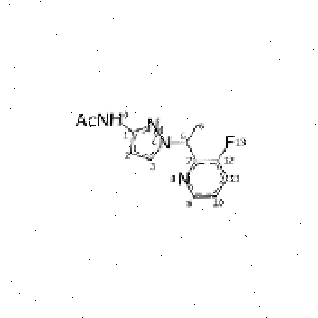 CC(=O)Nc1ccn(C(C)c2ncccc2F)n1